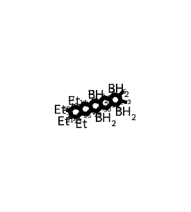 Bc1c(C)c(C)c(B)c2cc3c(B)c4cc5c(CC)c(CC)c(CC)c(CC)c5cc4c(B)c3cc12